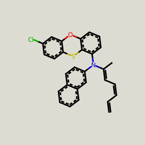 C=C/C=C\C=C(/C)N(c1ccc2ccccc2c1)c1cccc2c1Sc1ccc(Cl)cc1O2